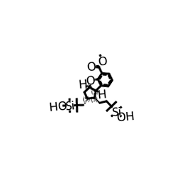 COC(=O)c1cccc2c1O[C@H]1C[C@@H](CC(C)(C)[Si](C)(C)O)[C@H](CCC(C)(C)[Si](C)(C)O)[C@@H]21